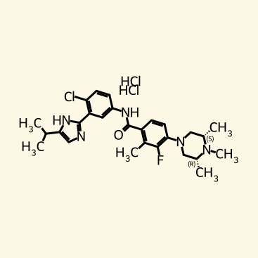 Cc1c(C(=O)Nc2ccc(Cl)c(-c3ncc(C(C)C)[nH]3)c2)ccc(N2C[C@@H](C)N(C)[C@@H](C)C2)c1F.Cl.Cl